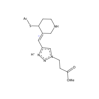 COC(=O)CCn1cc(/C=C2\CNCCC2SC(C)=O)nn1.[H+]